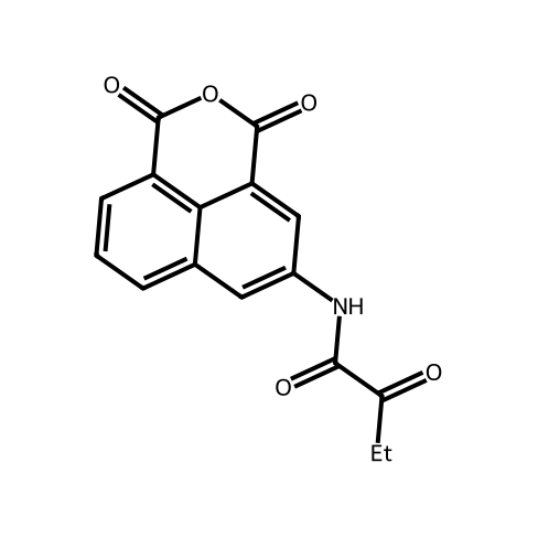 CCC(=O)C(=O)Nc1cc2c3c(cccc3c1)C(=O)OC2=O